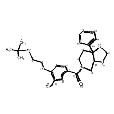 CC(C)(C)OCCOc1ccc(C(=O)N2CCC3(c4ccccn4)OCOC3C2)cc1Cl